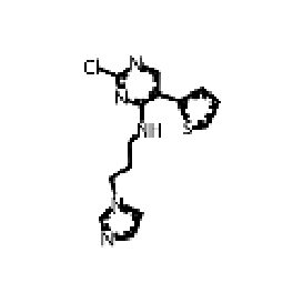 Clc1ncc(-c2cccs2)c(NCCCn2ccnc2)n1